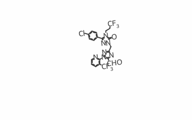 O=Cc1nc(Cn2nc(-c3ccc(Cl)cc3)n(CCC(F)(F)F)c2=O)nn1-c1ncccc1C(F)(F)F